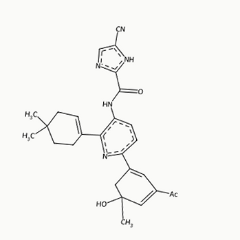 CC(=O)C1=CC(C)(O)CC(c2ccc(NC(=O)c3ncc(C#N)[nH]3)c(C3=CCC(C)(C)CC3)n2)=C1